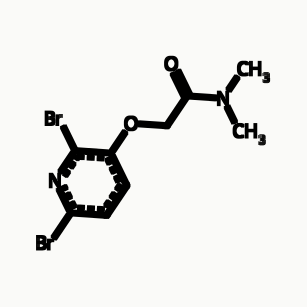 CN(C)C(=O)COc1ccc(Br)nc1Br